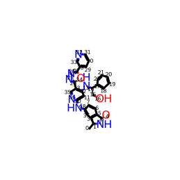 CC1NC(=O)c2ccc(Nc3cc(N[C@H](CO)c4ccccc4)c(-c4nnc(-c5cccnc5)o4)cn3)cc21